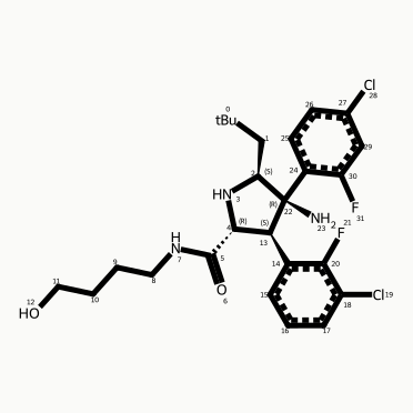 CC(C)(C)C[C@@H]1N[C@@H](C(=O)NCCCCO)[C@H](c2cccc(Cl)c2F)[C@@]1(N)c1ccc(Cl)cc1F